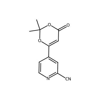 CC1(C)OC(=O)C=C(c2ccnc(C#N)c2)O1